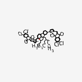 CCCC(CC)CC1(CC(CC)CCC)c2cc(-c3ccc(C=C4C(=O)c5cc(Cl)c(Cl)cc5C4=O)s3)ccc2-c2ccc(-c3ccc(C=C4C(=O)c5cc(Cl)c(Cl)cc5C4=O)s3)cc21